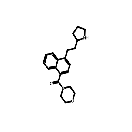 O=C(c1ccc(CCC2CCCN2)c2ccccc12)N1CCOCC1